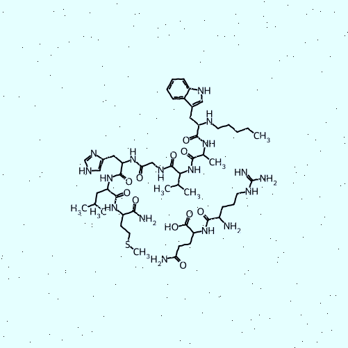 CCCCCNC(Cc1c[nH]c2ccccc12)C(=O)NC(C)C(=O)NC(C(=O)NCC(=O)NC(Cc1c[nH]cn1)C(=O)NC(CC(C)C)C(=O)NC(CCSC)C(N)=O)C(C)C.N=C(N)NCCCC(N)C(=O)NC(CCC(N)=O)C(=O)O